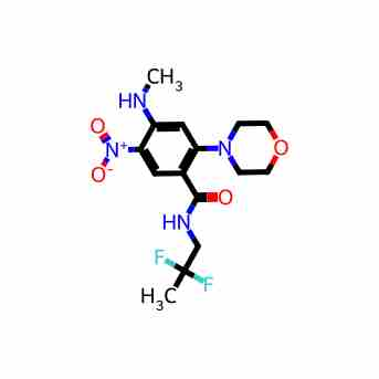 CNc1cc(N2CCOCC2)c(C(=O)NCC(C)(F)F)cc1[N+](=O)[O-]